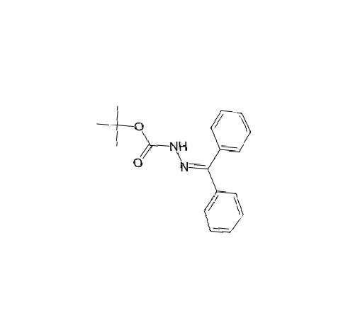 CC(C)(C)OC(=O)NN=C(c1ccccc1)c1ccccc1